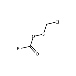 CCC(=O)OSCCl